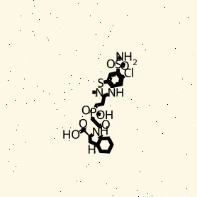 CN1Sc2cc(S(N)(=O)=O)c(Cl)cc2NC1CCP(=O)(O)CC(=O)N1[C@@H]2CCCC[C@@H]2C[C@H]1C(=O)O